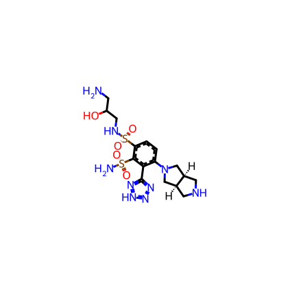 NCC(O)CNS(=O)(=O)c1ccc(N2C[C@H]3CNC[C@H]3C2)c(-c2nn[nH]n2)c1S(N)(=O)=O